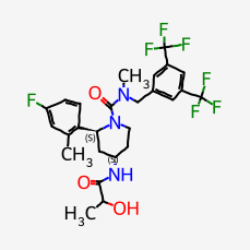 Cc1cc(F)ccc1[C@@H]1C[C@@H](NC(=O)C(C)O)CCN1C(=O)N(C)Cc1cc(C(F)(F)F)cc(C(F)(F)F)c1